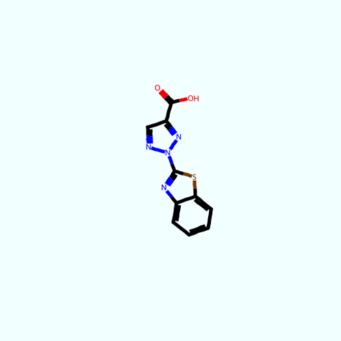 O=C(O)c1cnn(-c2nc3ccccc3s2)n1